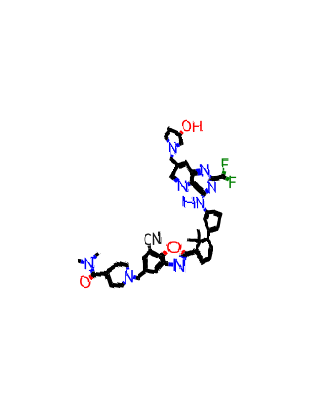 CN(C)C(=O)C1CCN(Cc2cc(C#N)c3oc(C4=CC=CC(c5cccc(Nc6nc(C(F)F)nc7cc(CN8CCC(O)C8)cnc67)c5)C4(C)C)nc3c2)CC1